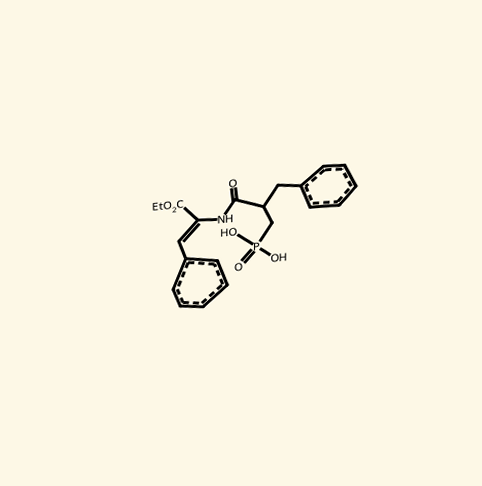 CCOC(=O)C(=Cc1ccccc1)NC(=O)C(Cc1ccccc1)CP(=O)(O)O